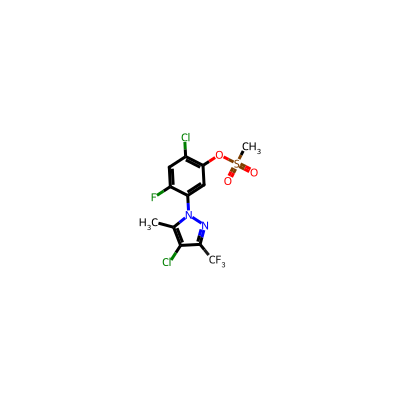 Cc1c(Cl)c(C(F)(F)F)nn1-c1cc(OS(C)(=O)=O)c(Cl)cc1F